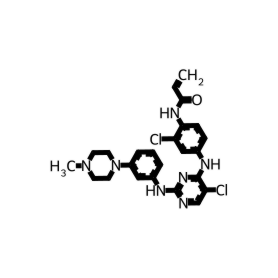 C=CC(=O)Nc1ccc(Nc2nc(Nc3cccc(N4CCN(C)CC4)c3)ncc2Cl)cc1Cl